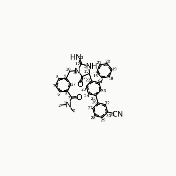 CN(C)C(=O)c1cccc(CN2C(=N)N[C@@](c3ccccc3)(c3ccc(-c4cccc(C#N)c4)cc3)C2=O)c1